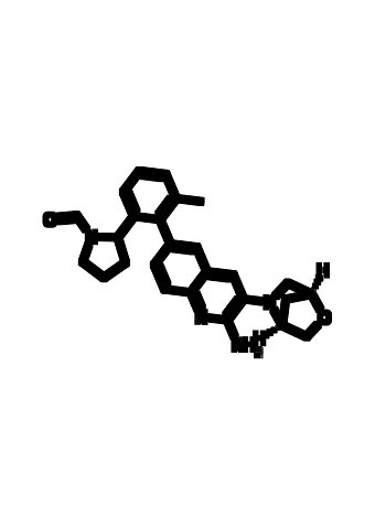 Cc1cccc(C2CCCN2C=O)c1-c1ccc2nc(N)c(N3C[C@@H]4C[C@H]3CO4)cc2c1